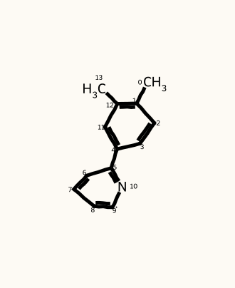 Cc1ccc(-c2ccc[c]n2)cc1C